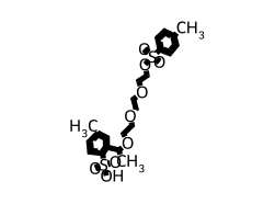 Cc1ccc(S(=O)(=O)OCCOCCOCCOC(C)c2cc(C)ccc2S(=O)(=O)O)cc1